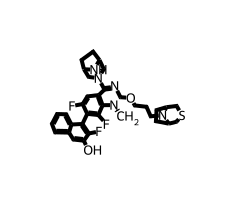 C=Nc1c(/C(=N\COCCCN2C3CCC2CSC3)N2CC3CCC(C2)N3)cc(F)c(-c2c(F)c(O)cc3ccccc23)c1F